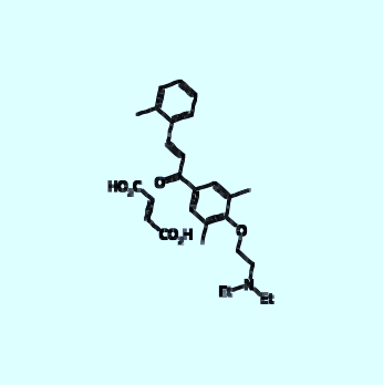 CCN(CC)CCOc1c(C)cc(C(=O)C=Cc2ccccc2C)cc1C.O=C(O)C=CC(=O)O